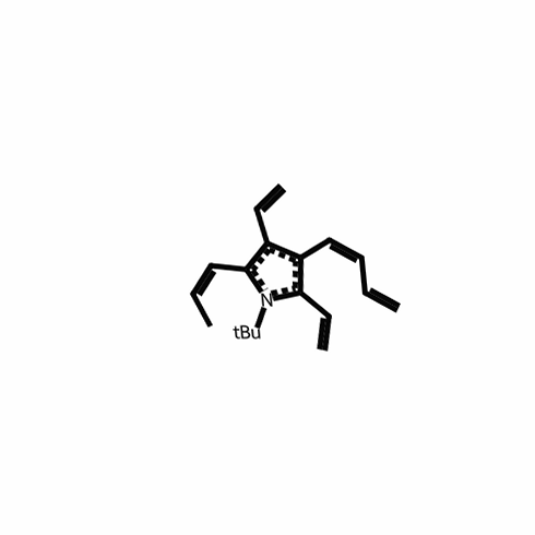 C=C/C=C\c1c(C=C)c(/C=C\C)n(C(C)(C)C)c1C=C